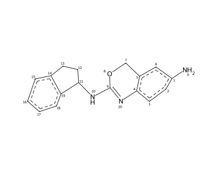 Nc1ccc2c(c1)COC(NC1CCc3ccccc31)=N2